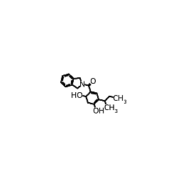 CCC(C)C1=C(O)CC(O)C(C(=O)N2Cc3ccccc3C2)=C1